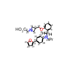 [2H]C([2H])(c1ccccc1OCC1CN(CC(=O)O)C1)N(c1ccc(-c2ccco2)cc1)C(C)C